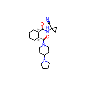 N#CC1(NC(=O)[C@@H]2CCCC[C@H]2C(=O)N2CCC(N3CCCC3)CC2)CC1